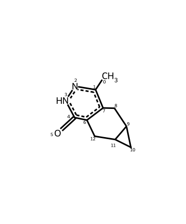 Cc1n[nH]c(=O)c2c1CC1CC1C2